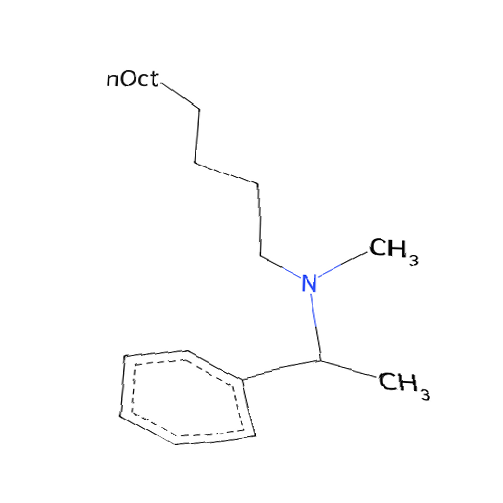 CCCCCCCCCCCCN(C)C(C)c1ccccc1